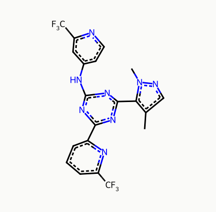 Cc1cnn(C)c1-c1nc(Nc2ccnc(C(F)(F)F)c2)nc(-c2cccc(C(F)(F)F)n2)n1